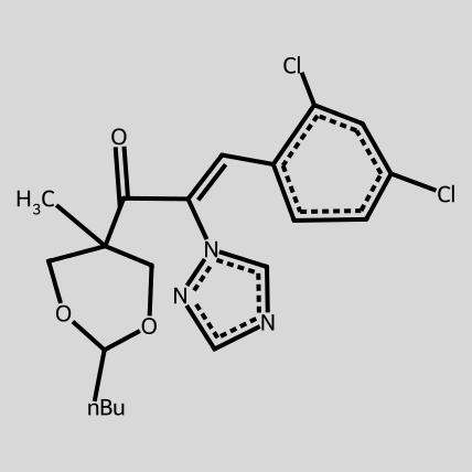 CCCCC1OCC(C)(C(=O)C(=Cc2ccc(Cl)cc2Cl)n2cncn2)CO1